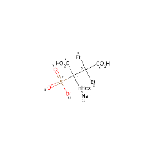 CCCCCCC(C(=O)O)(C(CC)(CC)C(=O)O)S(=O)(=O)[O-].[Na+]